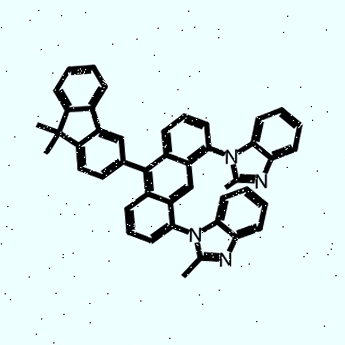 Cc1nc2ccccc2n1-c1cccc2c(-c3ccc4c(c3)-c3ccccc3C4(C)C)c3cccc(-n4c(C)nc5ccccc54)c3cc12